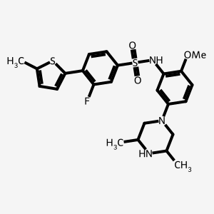 COc1ccc(N2CC(C)NC(C)C2)cc1NS(=O)(=O)c1ccc(-c2ccc(C)s2)c(F)c1